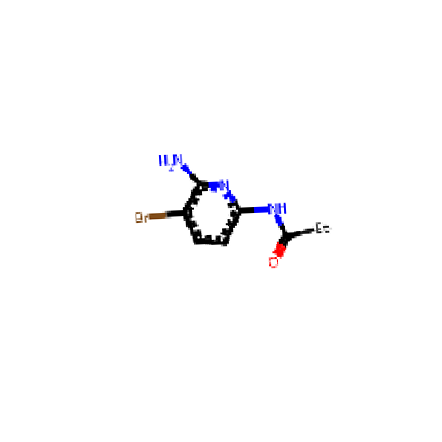 C[CH]C(=O)Nc1ccc(Br)c(N)n1